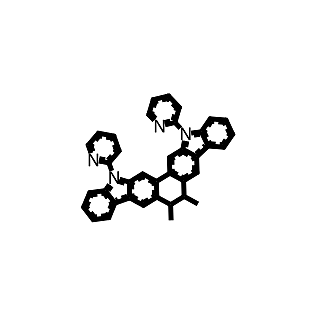 CC1c2cc3c4ccccc4n(-c4ccccn4)c3cc2-c2cc3c(cc2C1C)c1ccccc1n3-c1ccccn1